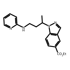 CCOC(=O)c1ccc2c(cnn2C(C)CCNc2ccccn2)c1